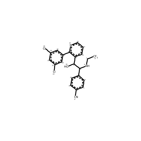 N#Cc1ccc(C(NCC(F)(F)F)C(O)c2cccnc2-c2cc(Cl)cc(Cl)c2)cc1